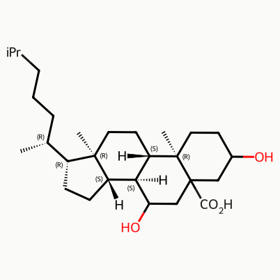 CC(C)CCC[C@@H](C)[C@H]1CC[C@H]2[C@@H]3C(O)CC4(C(=O)O)CC(O)CC[C@]4(C)[C@H]3CC[C@]12C